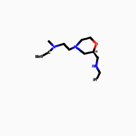 CSCN(C)CCN1CCO[C@@H](CNCC(C)C)C1